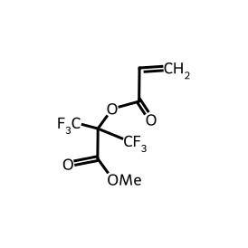 C=CC(=O)OC(C(=O)OC)(C(F)(F)F)C(F)(F)F